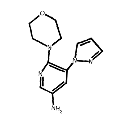 Nc1cnc(N2CCOCC2)c(-n2cccn2)c1